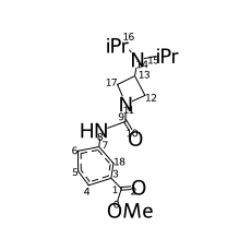 COC(=O)c1cccc(NC(=O)N2CC(N(C(C)C)C(C)C)C2)c1